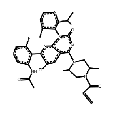 C=CC(=O)N1CC(C)N(c2nc(=O)n(-c3c(C)ccnc3C(C)C)c3nc(-c4c(F)cccc4NC(C)=O)c(Cl)cc23)CC1C